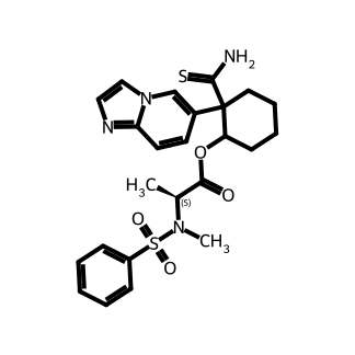 C[C@@H](C(=O)OC1CCCCC1(C(N)=S)c1ccc2nccn2c1)N(C)S(=O)(=O)c1ccccc1